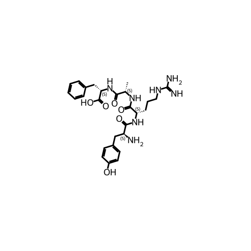 C[C@H](NC(=O)[C@H](CCCNC(=N)N)NC(=O)[C@@H](N)Cc1ccc(O)cc1)C(=O)N[C@@H](Cc1ccccc1)C(=O)O